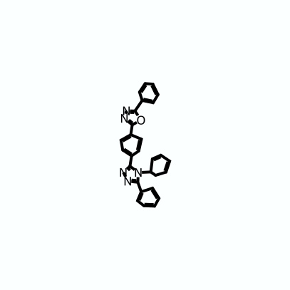 C1=CCC(n2c(-c3ccccc3)nnc2-c2ccc(-c3nnc(-c4ccccc4)o3)cc2)C=C1